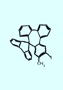 Cc1cc2c(cc1I)-c1ccccc1-c1ccccc1C21c2ccccc2-c2ccccc21